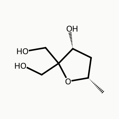 C[C@H]1C[C@@H](O)C(CO)(CO)O1